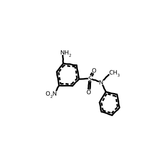 CN(c1ccccc1)S(=O)(=O)c1cc(N)cc([N+](=O)[O-])c1